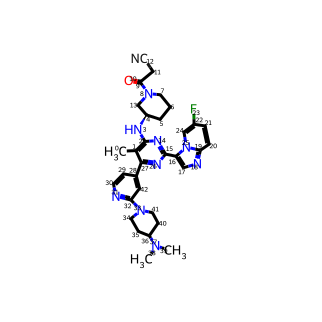 Cc1c(N[C@@H]2CCCN(C(=O)CC#N)C2)nc(-c2cnc3ccc(F)cn23)nc1-c1ccnc(N2CCC(N(C)C)CC2)c1